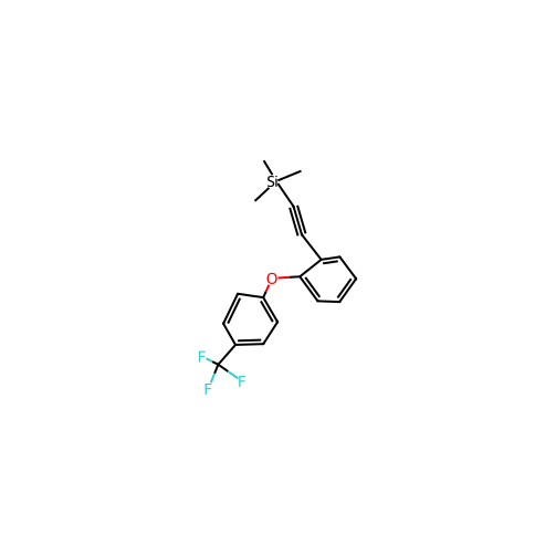 C[Si](C)(C)C#Cc1ccccc1Oc1ccc(C(F)(F)F)cc1